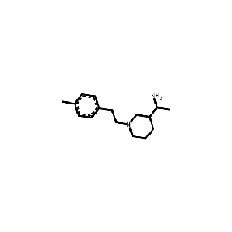 Cc1ccc(CCN2CCCC(C(C)N)C2)cc1